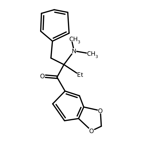 CCC(Cc1ccccc1)(C(=O)c1ccc2c(c1)OCO2)N(C)C